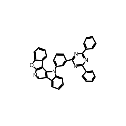 c1ccc(-c2nc(-c3ccccc3)nc(-c3cccc(-n4c5ccccc5c5cnc6oc7ccccc7c6c54)c3)n2)cc1